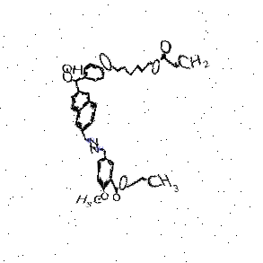 C=CC(=O)OCCCCCCOc1ccc(C(OO)c2ccc3cc(/C=N/N=C/c4ccc(OC)c(C(=O)OCCC)c4)ccc3c2)cc1